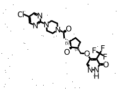 O=C1[C@H](COc2cn[nH]c(=O)c2C(F)(F)F)CC[C@H]1CC(=O)N1CCN(c2ncc(Cl)cn2)CC1